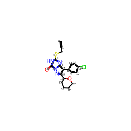 C#CCSc1nc2c(-c3ccc(Cl)cc3)c(C3CCCCO3)nn2c(=O)[nH]1